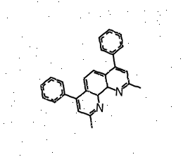 CC1=NC2C(=CC=C3C(c4ccccc4)=CC(C)=NC32)C(c2ccccc2)=C1